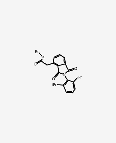 CCSC(=O)Cc1cccc2c1C(=O)N(c1c(C(C)C)cccc1C(C)C)C2=O